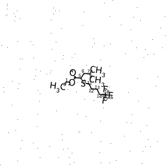 CCOC(=O)C(CC(C)C)SCCCCC(F)(F)F